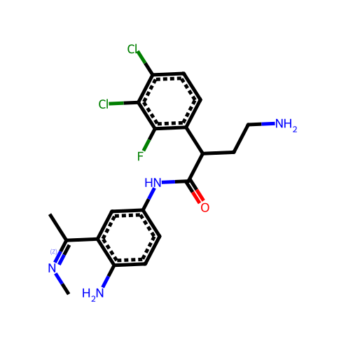 C/N=C(/C)c1cc(NC(=O)C(CCN)c2ccc(Cl)c(Cl)c2F)ccc1N